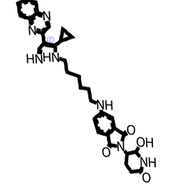 N=C/C(=C(\NCCCCCCNc1ccc2c(c1)C(=O)N(C1CCC(=O)NC1O)C2=O)C1CC1)c1cnc2ccccc2n1